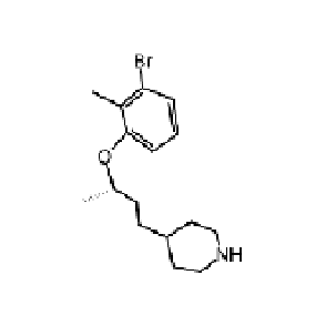 Cc1c(Br)cccc1O[C@@H](C)CCC1CCNCC1